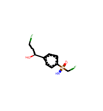 N=S(=O)(CF)c1ccc([C@@H](O)CCF)cc1